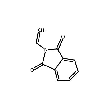 [CH]=CN1C(=O)c2ccccc2C1=O